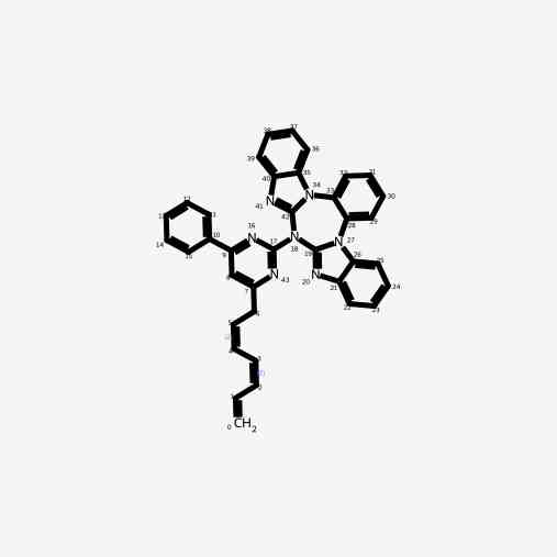 C=C/C=C\C=C/Cc1cc(-c2ccccc2)nc(-n2c3nc4ccccc4n3c3ccccc3n3c4ccccc4nc23)n1